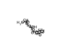 CCC(C)C(=O)OCCOCC(O)COC(=O)c1ccc2c(=O)c3ccccc3sc2c1